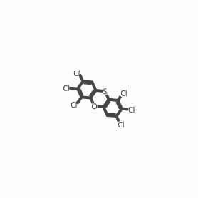 Clc1cc2c(c(Cl)c1Cl)Oc1cc(Cl)c(Cl)c(Cl)c1S2